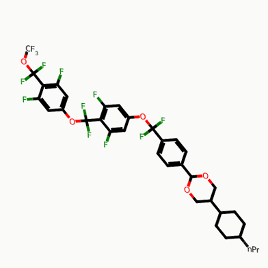 CCCC1CCC(C2COC(c3ccc(C(F)(F)Oc4cc(F)c(C(F)(F)Oc5cc(F)c(C(F)(F)OC(F)(F)F)c(F)c5)c(F)c4)cc3)OC2)CC1